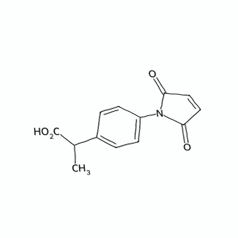 CC(C(=O)O)c1ccc(N2C(=O)C=CC2=O)cc1